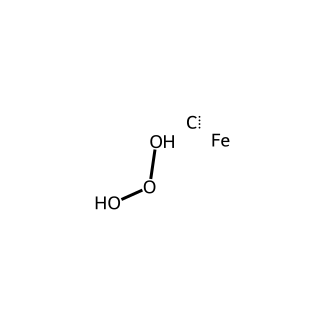 OOO.[C].[Fe]